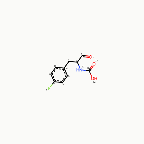 O=CC(Cc1ccc(F)cc1)NC(=O)O